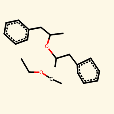 CC(Cc1ccccc1)OC(C)Cc1ccccc1.CCOCC